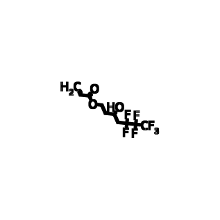 C=CC(=O)OCCC(O)CC(F)(F)C(F)(F)C(F)(F)F